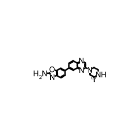 C[C@H]1CN(c2cnc3ccc(-c4ccc5nc(N)oc5c4)cc3n2)CCN1